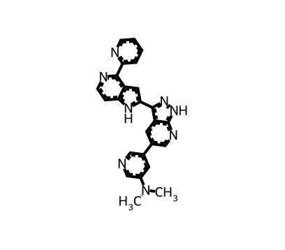 CN(C)c1cncc(-c2cnc3[nH]nc(-c4cc5c(-c6ccccn6)nccc5[nH]4)c3c2)c1